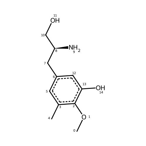 COc1c(C)cc(C[C@H](N)CO)cc1O